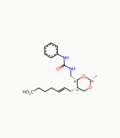 C[C@@H]1OC[C@H](CC=CCCCC(=O)O)[C@H](CNC(=O)Nc2ccccc2)O1